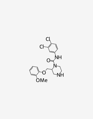 COc1ccccc1OCC1CNCCN1C(=O)Nc1ccc(Cl)c(Cl)c1